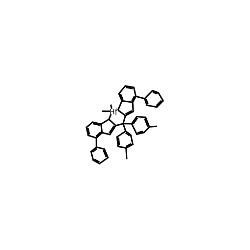 Cc1ccc(C2(c3ccc(C)cc3)C3=Cc4c(-c5ccccc5)cccc4[CH]3[Hf]([CH3])([CH3])[CH]3C2=Cc2c(-c4ccccc4)cccc23)cc1